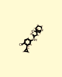 Clc1ccc(NC2=NOC3(C2)CN2CCC3CC2)cc1C1CC1